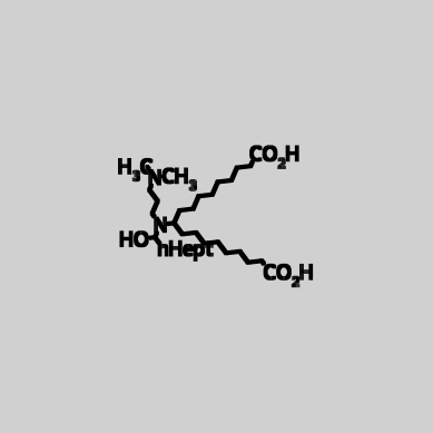 CCCCCCCC(O)N(CCCN(C)C)C(CCCCCCCCC(=O)O)CCCCCCCCC(=O)O